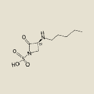 CCCCCN[C@H]1CN(S(=O)(=O)O)C1=O